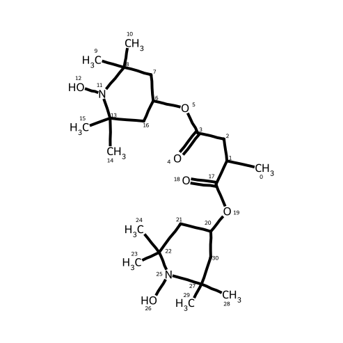 CC(CC(=O)OC1CC(C)(C)N(O)C(C)(C)C1)C(=O)OC1CC(C)(C)N(O)C(C)(C)C1